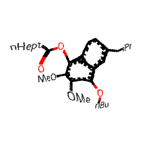 CCCCCCCC(=O)Oc1c(OC)c(OC)c(OCCCC)c2cc(C(C)C)ccc12